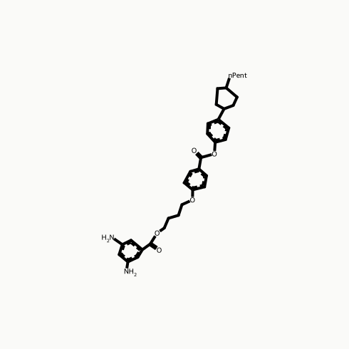 CCCCCC1CCC(c2ccc(OC(=O)c3ccc(OCCCCOC(=O)c4cc(N)cc(N)c4)cc3)cc2)CC1